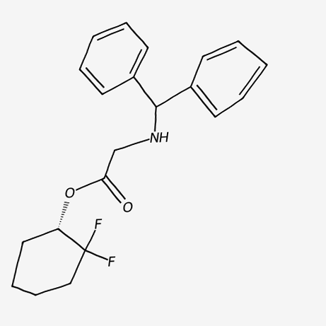 O=C(CNC(c1ccccc1)c1ccccc1)O[C@H]1CCCCC1(F)F